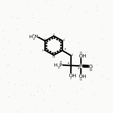 Nc1ccc(CC(O)(P)P(=O)(O)O)cc1